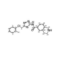 Cc1ccccc1OCc1nnc(NC(=O)c2ccc3c(c2)CCNC3)s1